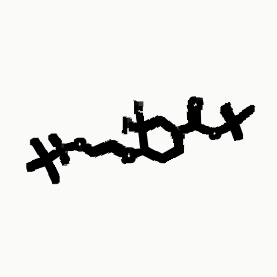 CC(C)(C)OC(=O)N1CC[C@@H](OCCO[Si](C)(C)C(C)(C)C)C(F)(F)C1